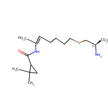 CC1(C)CC1C(=O)N/C(=C\CCCCSC[C@H](N)C(=O)O)C(=O)O